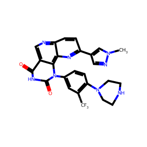 Cn1cc(-c2ccc3ncc4c(=O)[nH]c(=O)n(-c5ccc(N6CCNCC6)c(C(F)(F)F)c5)c4c3n2)cn1